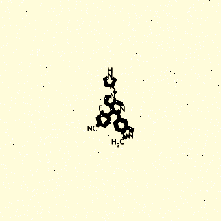 Cn1ncc2cc(-c3ncc4c(ccn4C[C@@H]4CCNC4)c3-c3ccc(C#N)cc3F)ccc21